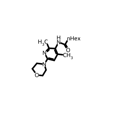 CCCCCCC(=O)Nc1c(C)cc(N2CCOCC2)nc1C